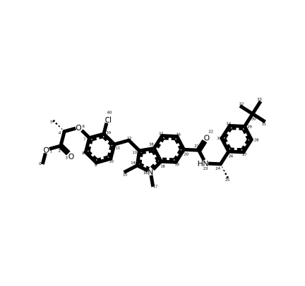 COC(=O)[C@H](C)Oc1cccc(Cc2c(C)n(C)c3cc(C(=O)N[C@@H](C)c4ccc(C(C)(C)C)cc4)ccc23)c1Cl